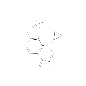 O=C(O)c1cn(C2CC2)c2c(OS(=O)(=O)C(F)(F)F)c(F)ncc2c1=O